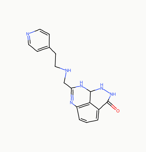 O=C1NNC2NC(CNCCc3ccncc3)=Nc3cccc1c32